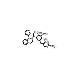 COc1cc(Cc2cnc(N)nc2N)cc(C(=CC=O)N2CCc3ccccc3C2c2cccnc2)c1OC